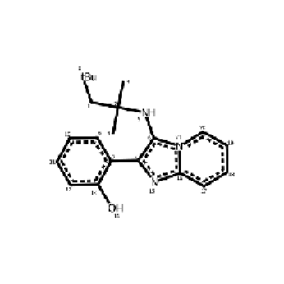 CC(C)(C)CC(C)(C)Nc1c(-c2ccccc2O)nc2ccccn12